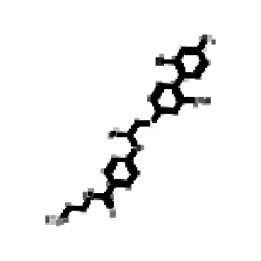 COc1cc(OCC(Nc2ccc(C(=O)NCCC(=O)O)cc2)C(C)C)ccc1-c1ccc(C(F)(F)F)cc1Cl